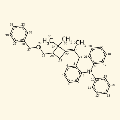 CC(Cc1ccccc1P(c1ccccc1)c1ccccc1)=C1CC(COCc2ccccc2)C1(C)C